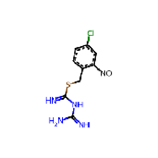 N=C(N)NC(=N)SCc1ccc(Cl)cc1N=O